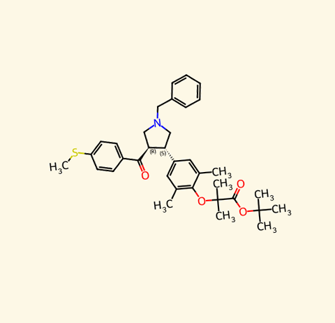 CSc1ccc(C(=O)[C@H]2CN(Cc3ccccc3)C[C@@H]2c2cc(C)c(OC(C)(C)C(=O)OC(C)(C)C)c(C)c2)cc1